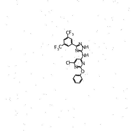 FC(F)(F)c1cc(-c2n[nH]c(Nc3cc(Cl)nc(Oc4ccccc4)n3)n2)cc(C(F)(F)F)c1